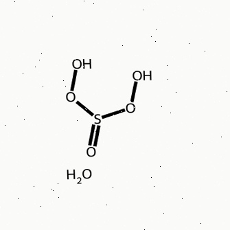 O.O=S(OO)OO